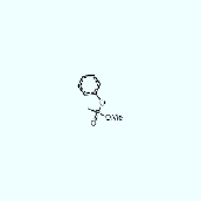 COP(C)(=O)Oc1ccccc1